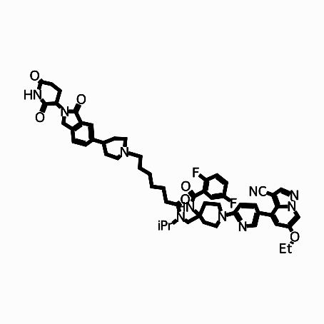 CCOc1cc(-c2ccc(N3CCC(CN(C(=O)CCCCCCN4CCC(c5ccc6c(c5)C(=O)N(C5CCC(=O)NC5=O)C6)CC4)C(C)C)(NC(=O)c4cc(F)ccc4F)CC3)nc2)c2c(C#N)cnn2c1